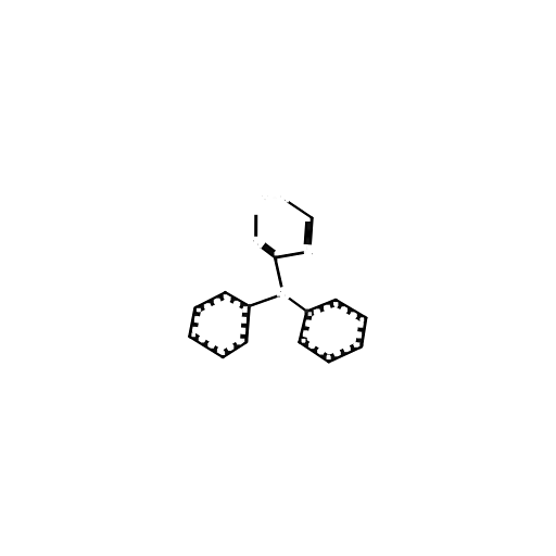 C/N=C(\N=C/NC)N(c1ccccc1)c1ccccc1